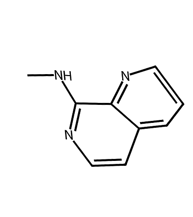 CNc1nccc2cccnc12